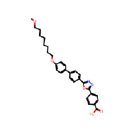 COCCCCCCCCOc1ccc(-c2ccc(-c3nnc(-c4ccc(C(=O)O)cc4)o3)cc2)cc1